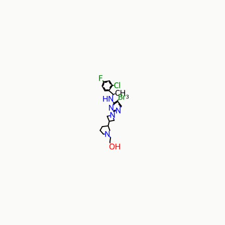 C[C@@H](Nc1nc(N2CC(C3CCCN(CCO)C3)C2)ncc1Br)c1ccc(F)cc1Cl